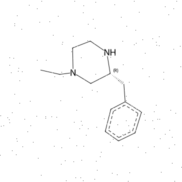 CCN1CCN[C@H](Cc2ccccc2)C1